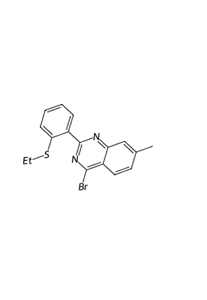 CCSc1ccccc1-c1nc(Br)c2ccc(C)cc2n1